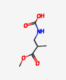 COC(=O)C(C)CNC(=O)O